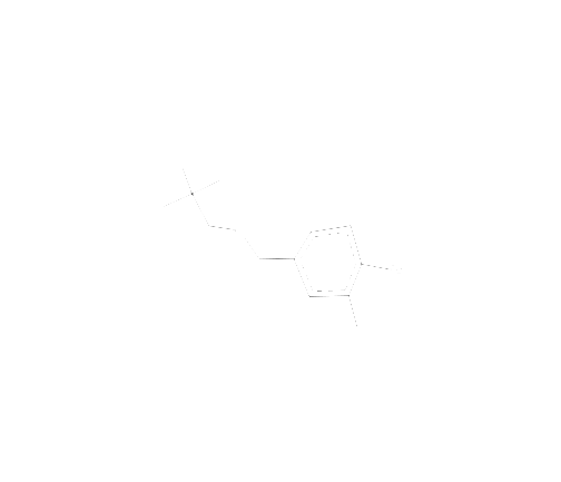 Cc1cc(COCC(F)(F)F)ccc1Br